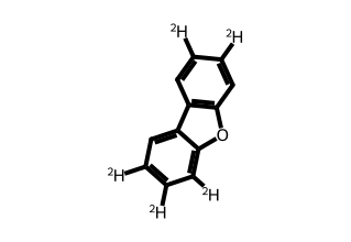 [2H]c1cc2oc3c([2H])c([2H])c([2H])cc3c2cc1[2H]